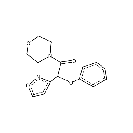 O=C(C(Oc1ccccc1)c1ccon1)N1CCOCC1